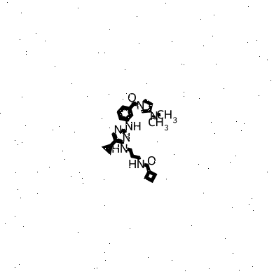 CN(C)[C@@H]1CCN(C(=O)c2cccc(Nc3ncc(C4CC4)c(NCCCNC(=O)C4CCC4)n3)c2)C1